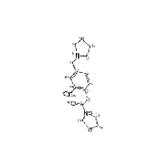 O=C(Cc1ccc(CN2CCCC2)cc1Cl)N1CCCC1